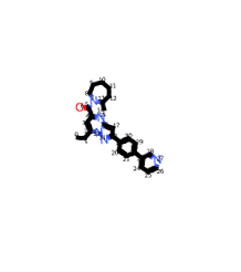 CCc1cc(C(=O)N2CCCCCC2C)nc2cc(-c3ccc(-c4cccnc4)cc3)nn12